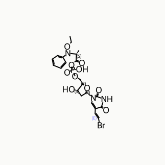 CCON(c1ccccc1)[C@@H](C)C(=O)OP(=O)(O)OC[C@H]1O[C@@H](n2cc(/C=C/Br)c(=O)[nH]c2=O)C[C@@H]1O